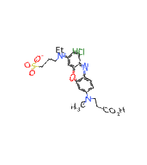 CC[N+](CCCS(=O)(=O)[O-])=c1ccc2nc3ccc(N(C)CCC(=O)O)cc3oc-2c1.Cl